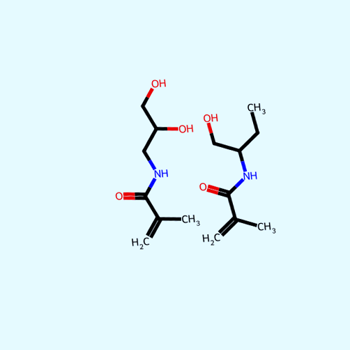 C=C(C)C(=O)NC(CC)CO.C=C(C)C(=O)NCC(O)CO